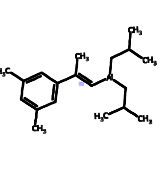 C/C(=[CH]\[Al]([CH2]C(C)C)[CH2]C(C)C)c1cc(C)cc(C)c1